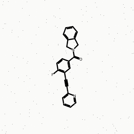 O=C(c1ccc(F)c(C#Cc2ccccn2)c1)N1Cc2ccccc2C1